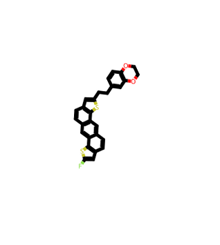 Fc1cc2ccc3cc4c(ccc5cc(CCc6ccc7c(c6)OCCO7)sc54)cc3c2s1